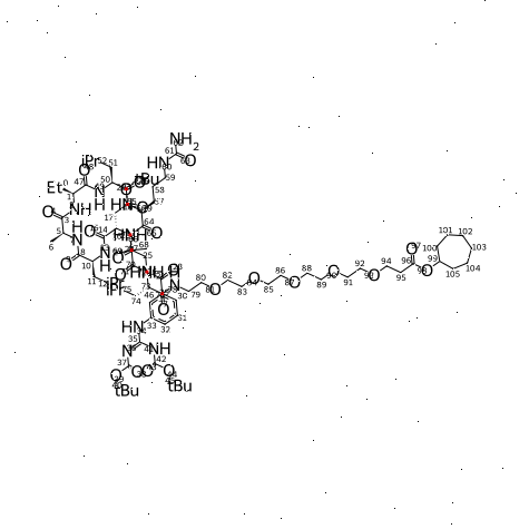 CC[C@H](NC(=O)[C@H](C)NC(=O)[C@H](CC(C)C)NC(=O)[C@H](CC(=O)OC(C)(C)C)NC(=O)CNC(=O)c1cccc(N/C(=N/C(=O)OC(C)(C)C)NC(=O)OC(C)(C)C)c1)C(=O)N[C@@H](CC(C)C)C(=O)N[C@@H](CCCNC(N)=O)C(=O)NC(C)(C)C(=O)N[C@@H](CC(C)C)C(=O)NCCOCCOCCOCCOCCOCCC(=O)OC1CCCCCC1